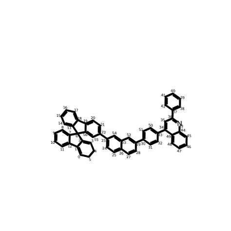 C1=C2C(=CCC1)C1(c3ccccc32)c2ccccc2-c2ccc(-c3ccc4ccc(-c5ccc(-c6cc(-c7ccccc7)nc7ccccc67)cc5)cc4c3)cc21